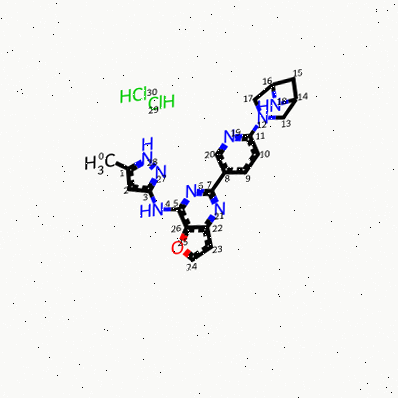 Cc1cc(Nc2nc(-c3ccc(N4CC5CC(C4)N5)nc3)nc3ccoc23)n[nH]1.Cl.Cl